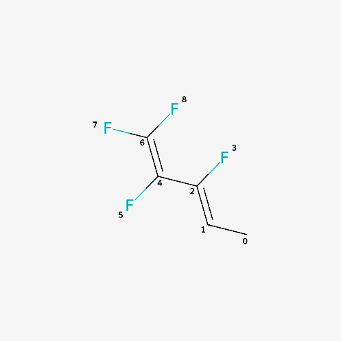 CC=C(F)C(F)=C(F)F